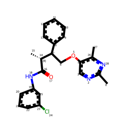 Cc1ncc(OCC(c2ccccc2)[C@@H](C)C(=O)Nc2cccc(Cl)c2)c(C)n1